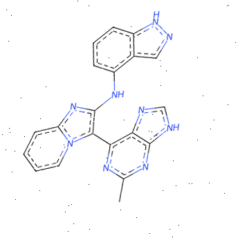 Cc1nc(-c2c(Nc3cccc4[nH]ncc34)nc3ccccn23)c2nc[nH]c2n1